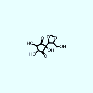 O=C1C(O)C(O)C(=O)C1(O)C1OCOC1CO